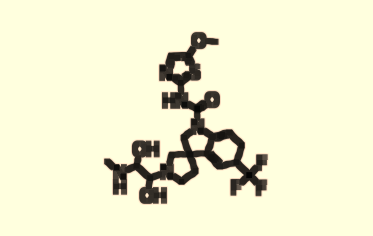 CNC(O)C(O)N1CCC2(CN(C(=O)Nc3ncc(OC)s3)C3=CCC(C(F)(F)F)C=C32)C1